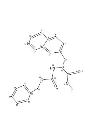 COC(=O)[C@@H](Cc1ccc2ccncc2c1)NC(=O)OCc1ccccc1